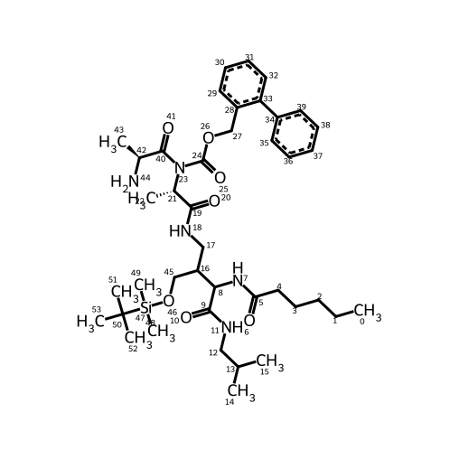 CCCCCC(=O)NC(C(=O)NCC(C)C)C(CNC(=O)[C@H](C)N(C(=O)OCc1ccccc1-c1ccccc1)C(=O)[C@H](C)N)CO[Si](C)(C)C(C)(C)C